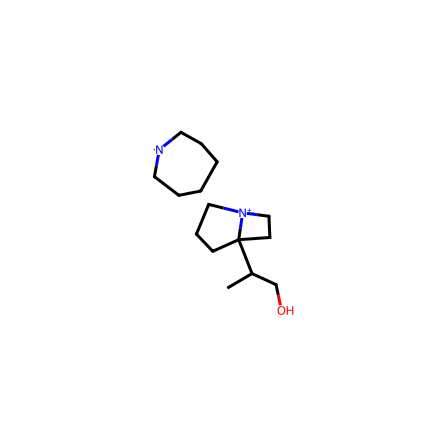 C1CCC[N]CC1.CC(CO)C12CCC[N+]1CC2